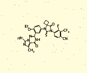 CCCc1nc(C)c2c(=O)[nH]c(-c3cc(N4C(=S)N(c5ccc(C#N)c(C(F)(F)F)c5F)C(=O)C45CCC5)ccc3OCC)nn12